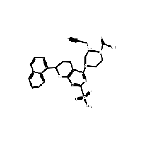 CS(=O)(=O)c1nc2c(c(N3CCN(C(=O)O)[C@@H](CC#N)C3)n1)CCC(c1cccc3ccccc13)O2